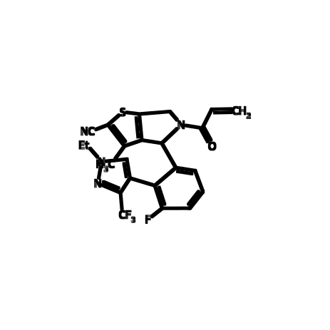 C=CC(=O)N1Cc2sc(C#N)c(C)c2C1c1cccc(F)c1-c1cn(CC)nc1C(F)(F)F